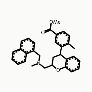 COC(=O)c1ccc(C)c(C2CC(CN(C)Cc3cccc4ccccc34)Oc3ccccc32)c1